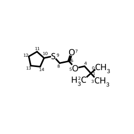 CC(C)(C)COC(=O)CSC1CCCC1